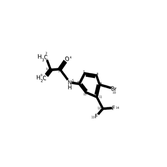 C=C(C)C(=O)Nc1ccc(Br)c(C(F)F)c1